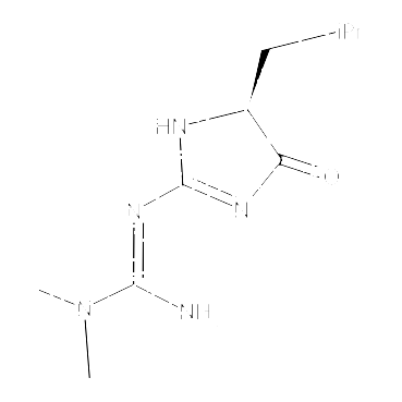 CC(C)C[C@@H]1NC(/N=C(\N)N(C)C)=NC1=O